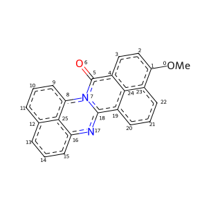 COc1ccc2c(=O)n3c4cccc5cccc(nc3c3cccc1c23)c54